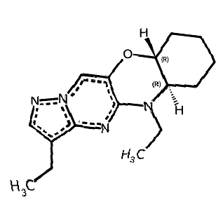 CCc1cnn2cc3c(nc12)N(CC)[C@@H]1CCCC[C@H]1O3